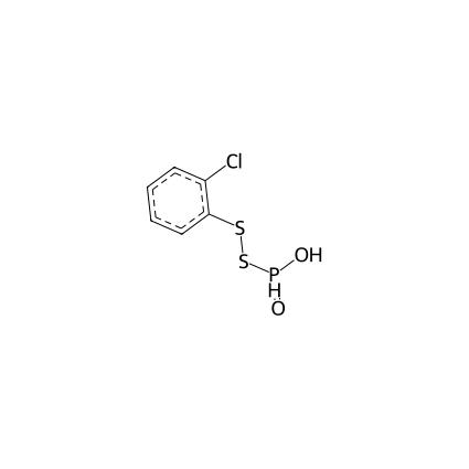 O=[PH](O)SSc1ccccc1Cl